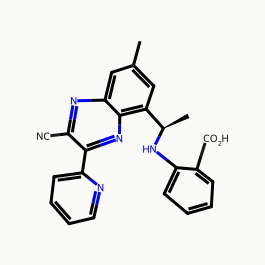 Cc1cc([C@@H](C)Nc2ccccc2C(=O)O)c2nc(-c3ccccn3)c(C#N)nc2c1